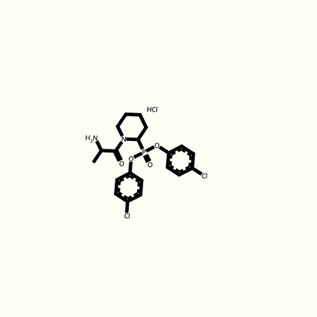 CC(N)C(=O)N1CCCCC1P(=O)(Oc1ccc(Cl)cc1)Oc1ccc(Cl)cc1.Cl